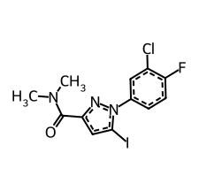 CN(C)C(=O)c1cc(I)n(-c2ccc(F)c(Cl)c2)n1